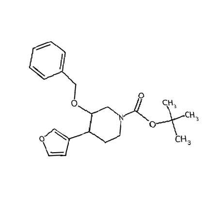 CC(C)(C)OC(=O)N1CCC(c2ccoc2)C(OCc2ccccc2)C1